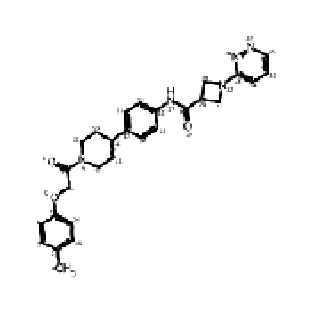 Cc1ccc(OCC(=O)N2CCC(c3ccc(NC(=O)C4CN(c5cccnn5)C4)cc3)CC2)cc1